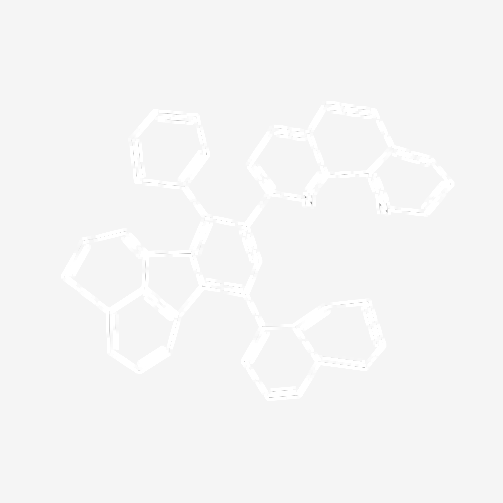 c1ccc(-c2c(-c3ccc4ccc5cccnc5c4n3)cc(-c3cccc4ccccc34)c3c2-c2cccc4cccc-3c24)cc1